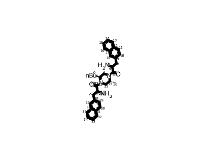 CCCC[C@H]1CN(C(=O)C(N)Cc2ccc3ccccc3c2)[C@H](C)CN1C(=O)C(N)Cc1ccc2ccccc2c1